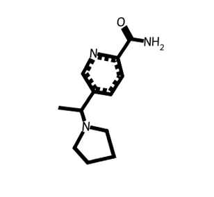 CC(c1ccc(C(N)=O)nc1)N1CCCC1